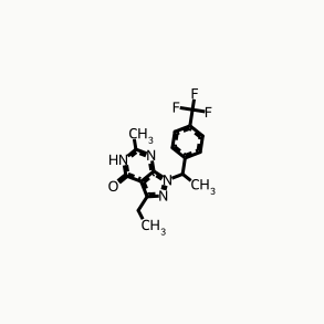 CCc1nn(C(C)c2ccc(C(F)(F)F)cc2)c2nc(C)[nH]c(=O)c12